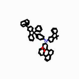 CC1(C)c2ccccc2-c2cc(N(c3ccc(C4(c5ccccc5)c5ccccc5-c5cc(C67CC8CC(CC(C8)C6)C7)ccc54)cc3)c3cccc(-c4cccc5cccc(-c6ccccc6)c45)c3)ccc21